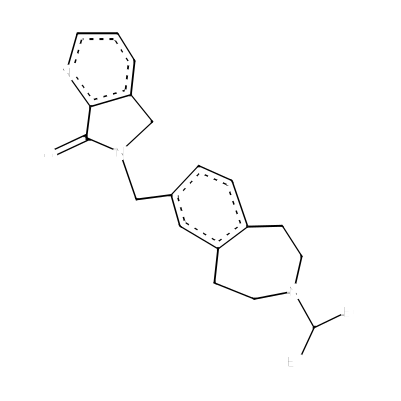 CCC(CC)N1CCc2ccc(CN3Cc4cccnc4C3=O)cc2CC1